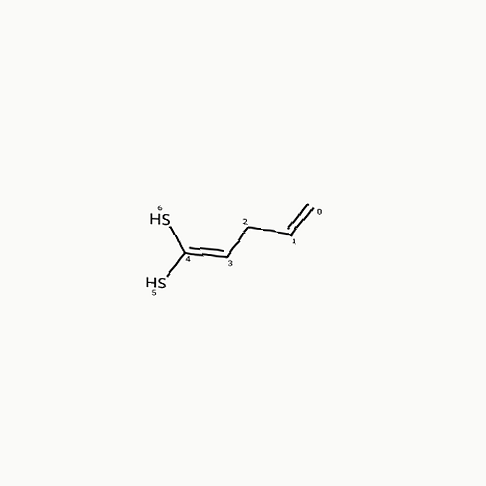 C=CCC=C(S)S